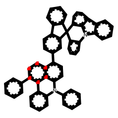 c1ccc(-c2ccccc2-c2ccccc2N(c2ccccc2)c2ccc(-c3ccc4c(c3)C3(c5ccccc5-4)c4ccccc4-n4c5ccccc5c5cccc3c54)c3ccccc23)cc1